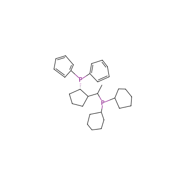 CC(C1CCC[C@@H]1P(c1ccccc1)c1ccccc1)P(C1CCCCC1)C1CCCCC1